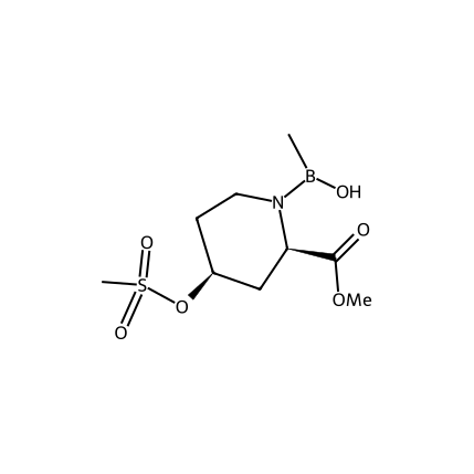 COC(=O)[C@H]1C[C@@H](OS(C)(=O)=O)CCN1B(C)O